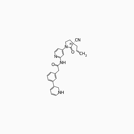 C=CC[C@]1(C#N)CCN(c2ccnc(NC(=O)Cc3cccc(C4=CC=CNC4)c3)c2)C1=O